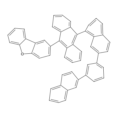 c1cc(-c2ccc3ccccc3c2)cc(-c2ccc3cccc(-c4c5ccccc5c(-c5ccc6oc7ccccc7c6c5)c5ccccc45)c3c2)c1